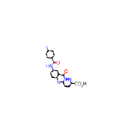 O=C(Nc1ccc2nc3ccc(C(=O)O)nn3c(=O)c2c1)c1ccc(I)cc1